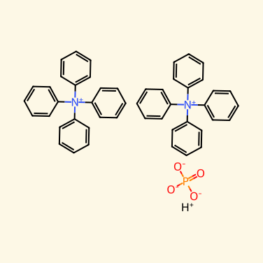 O=P([O-])([O-])[O-].[H+].c1ccc([N+](c2ccccc2)(c2ccccc2)c2ccccc2)cc1.c1ccc([N+](c2ccccc2)(c2ccccc2)c2ccccc2)cc1